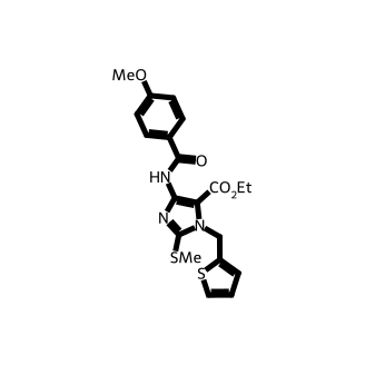 CCOC(=O)c1c(NC(=O)c2ccc(OC)cc2)nc(SC)n1Cc1cccs1